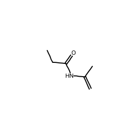 C=C(C)NC(=O)CC